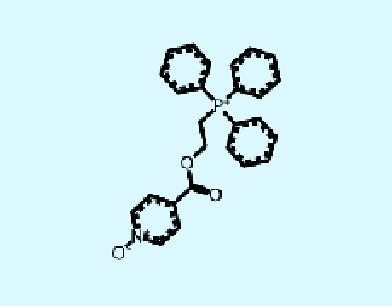 O=C(OCC[P+](c1ccccc1)(c1ccccc1)c1ccccc1)c1cc[n+]([O-])cc1